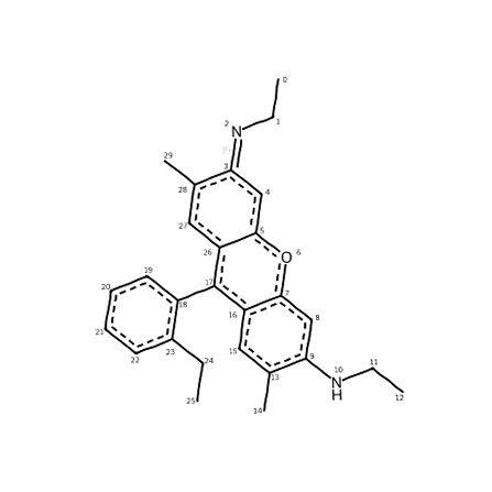 CC/N=c1\cc2oc3cc(NCC)c(C)cc3c(-c3ccccc3CC)c-2cc1C